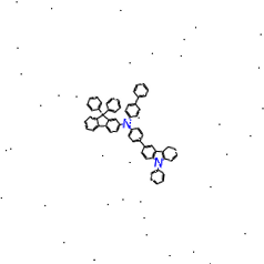 C1=Cc2c(c3cc(-c4ccc(N(c5ccc(-c6ccccc6)cc5)c5ccc6c(c5)C(c5ccccc5)(c5ccccc5)c5ccccc5-6)cc4)ccc3n2-c2ccccc2)CC1